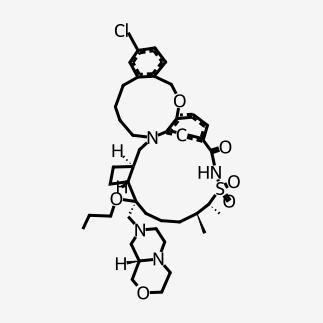 CCCO[C@]1(CN2CCN3CCOC[C@@H]3C2)CCC[C@H](C)[C@@H](C)S(=O)(=O)NC(=O)c2ccc3c(c2)N(CCCCc2cc(Cl)ccc2CO3)C[C@@H]2CC[C@H]21